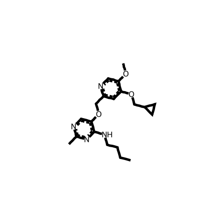 CCCCNc1nc(C)ncc1OCc1cc(OCC2CC2)c(OC)cn1